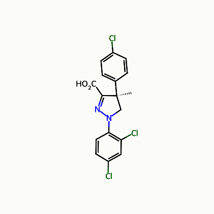 C[C@]1(c2ccc(Cl)cc2)CN(c2ccc(Cl)cc2Cl)N=C1C(=O)O